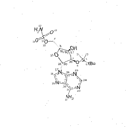 CC(C)(C)[Si](C)(C)O[C@@H]1[C@H](O)[C@@H](COS(N)(=O)=O)O[C@H]1n1cnc2c(N)ncnc21